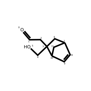 O=CCC1(CO)CC2C=CC1C2